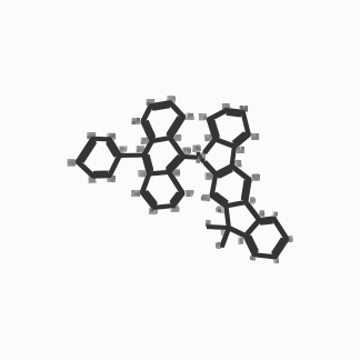 CC1(C)c2ccccc2-c2cc3c4ccccc4n(-c4c5ccccc5c(-c5ccccc5)c5ccccc45)c3cc21